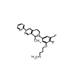 CSCCCOc1cc(N2CCc3nc(-c4ccccn4)ncc3C2C)cc(F)c1F